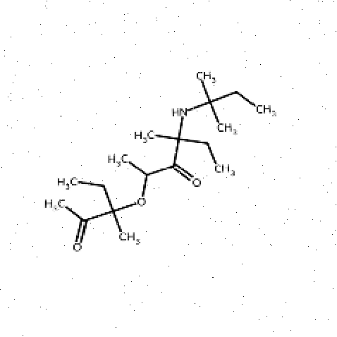 CCC(C)(C)NC(C)(CC)C(=O)C(C)OC(C)(CC)C(C)=O